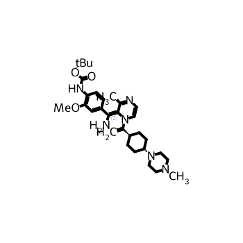 C=C([C@H]1CC[C@H](N2CCN(C)CC2)CC1)N1C=CN=C(C)/C1=C(/N)c1ccc(NC(=O)OC(C)(C)C)c(OC)c1